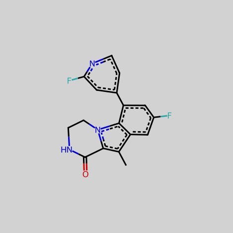 Cc1c2n(c3c(-c4ccnc(F)c4)cc(F)cc13)CCNC2=O